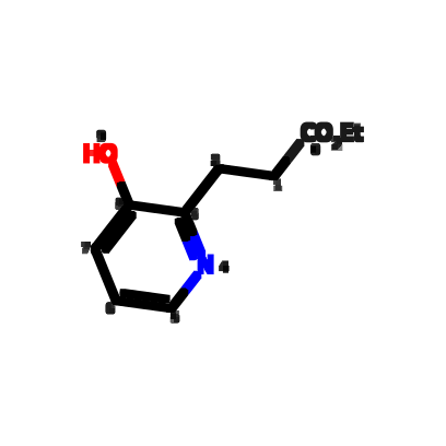 CCOC(=O)CCc1ncccc1O